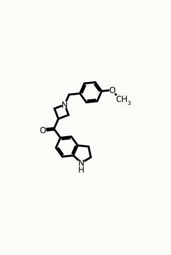 COc1ccc(CN2CC(C(=O)c3ccc4c(c3)CCN4)C2)cc1